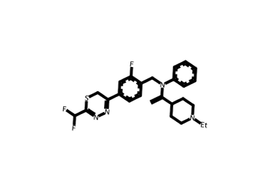 C=C(C1CCN(CC)CC1)N(Cc1ccc(C2=NN=C(C(F)F)SC2)cc1F)c1ccccc1